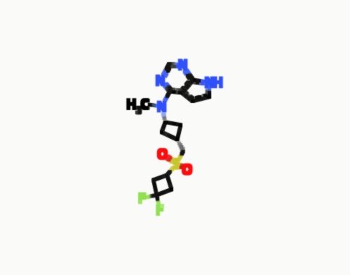 CN(c1ncnc2[nH]ccc12)[C@H]1C[C@@H](CS(=O)(=O)C2CC(F)(F)C2)C1